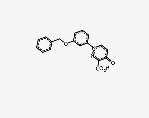 O=C(O)c1nn(-c2cccc(OCc3ccccc3)c2)ccc1=O